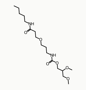 CCCCCNC(=O)CCOCCCNC(=O)OCC(COC)OC